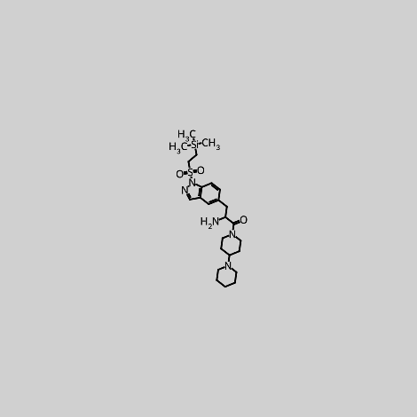 C[Si](C)(C)CCS(=O)(=O)n1ncc2cc(CC(N)C(=O)N3CCC(N4CCCCC4)CC3)ccc21